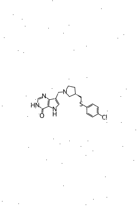 O=c1[nH]cnc2c(CN3CC[C@@H](CSc4ccc(Cl)cc4)C3)c[nH]c12